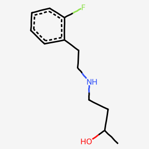 CC(O)CCNCCc1ccccc1F